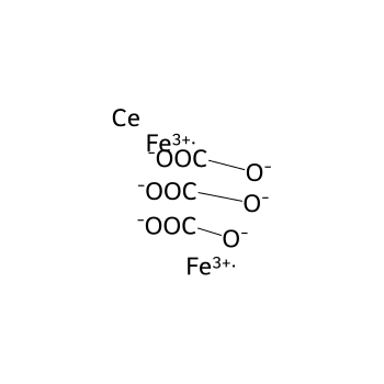 O=C([O-])[O-].O=C([O-])[O-].O=C([O-])[O-].[Ce].[Fe+3].[Fe+3]